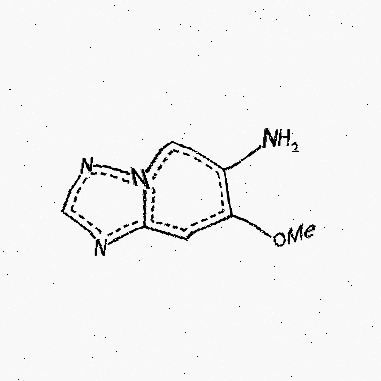 COc1cc2ncnn2cc1N